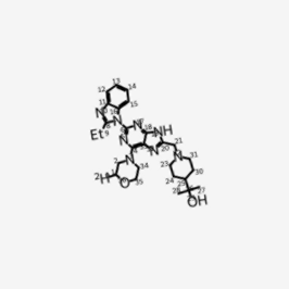 [2H]C1CN(c2nc(-n3c(CC)nc4ccccc43)nc3[nH]c(CN4CCC(C(C)(C)O)CC4)nc23)CCO1